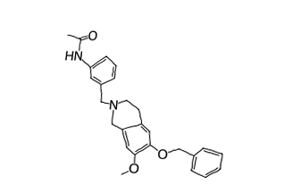 COc1cc2c(cc1OCc1ccccc1)CCN(Cc1cccc(NC(C)=O)c1)C2